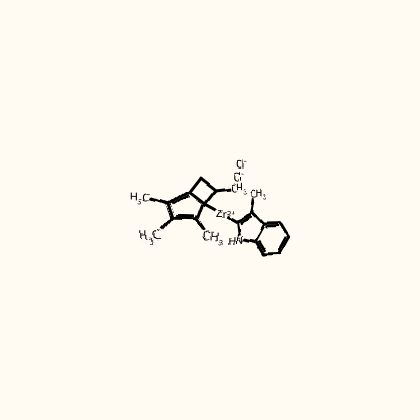 CC1=C(C)[C]2([Zr+2][c]3[nH]c4ccccc4c3C)C(=C1C)CC2C.[Cl-].[Cl-]